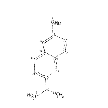 COc1ccc2cc(C([11CH3])C(=O)O)ccc2c1